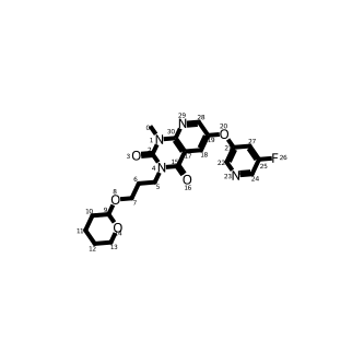 Cn1c(=O)n(CCCOC2CCCCO2)c(=O)c2cc(Oc3cncc(F)c3)cnc21